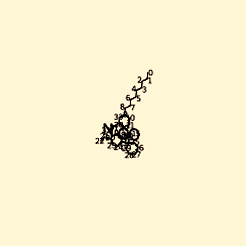 CCCCCCCCCc1ccc(OC(=O)C2(c3ccc(CC)cc3)CCCCC2)c(C#N)c1